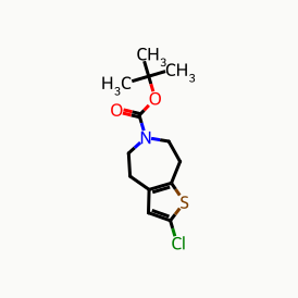 CC(C)(C)OC(=O)N1CCc2cc(Cl)sc2CC1